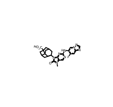 Cn1c(=O)n(C23CC4CC5(C(=O)O)CC(C2)C5(C4)C3)c2nc(Nc3cn4ncnc4cc3F)ncc21